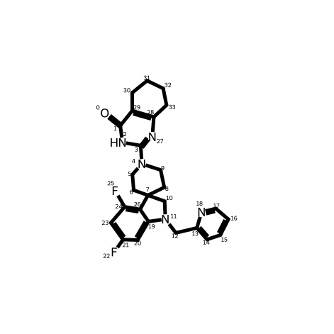 O=c1[nH]c(N2CCC3(CC2)CN(Cc2ccccn2)c2cc(F)cc(F)c23)nc2c1CCCC2